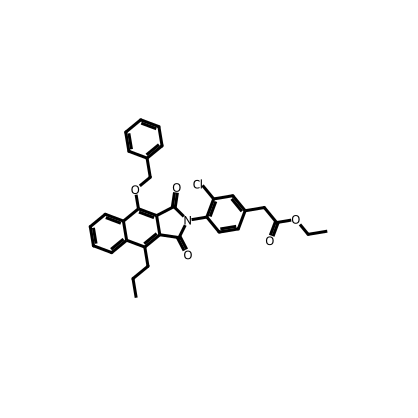 CCCc1c2c(c(OCc3ccccc3)c3ccccc13)C(=O)N(c1ccc(CC(=O)OCC)cc1Cl)C2=O